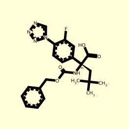 CC(C)(C)C[C@](NC(=O)OCc1ccccc1)(C(=O)O)c1ccc(-n2cnnn2)c(F)c1